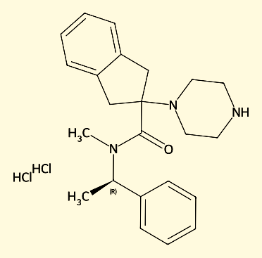 C[C@H](c1ccccc1)N(C)C(=O)C1(N2CCNCC2)Cc2ccccc2C1.Cl.Cl